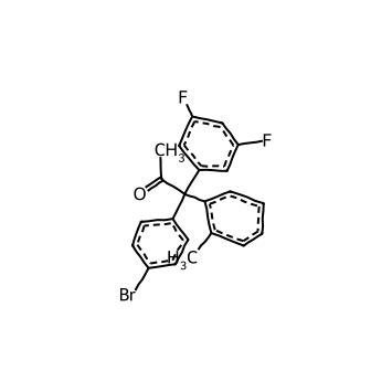 CC(=O)C(c1ccc(Br)cc1)(c1cc(F)cc(F)c1)c1ccccc1C